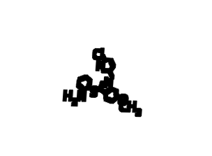 COc1ccc2c(Sc3ccccc3N)cn(Cc3ccc(Cl)nc3)c2c1